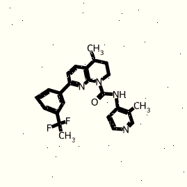 Cc1cnccc1NC(=O)N1CCC(C)c2ccc(-c3cccc(C(C)(F)F)c3)nc21